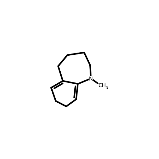 CN1CCCCC2=CCCC=C21